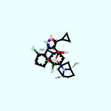 O=C(O)c1ccc(N2[C@@H]3CC[C@H]2C[C@@H](OC(=O)c2c(-c4c(Cl)cccc4Cl)noc2C2CC2)C3)c(Cl)c1